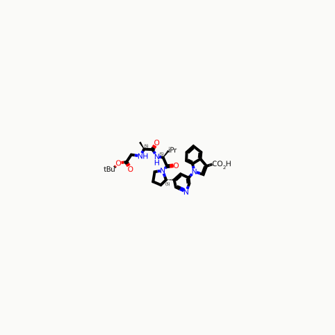 CC(C)[C@H](NC(=O)[C@H](C)NCC(=O)OC(C)(C)C)C(=O)N1CCC[C@H]1c1cncc(-n2cc(C(=O)O)c3ccccc32)c1